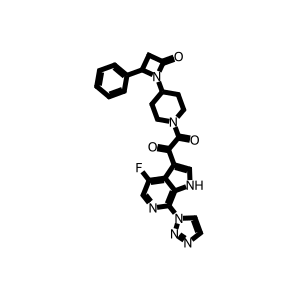 O=C(C(=O)N1CCC(N2C(=O)CC2c2ccccc2)CC1)c1c[nH]c2c(-n3ccnn3)ncc(F)c12